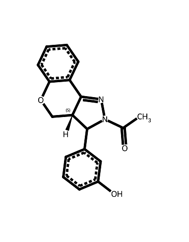 CC(=O)N1N=C2c3ccccc3OC[C@H]2C1c1cccc(O)c1